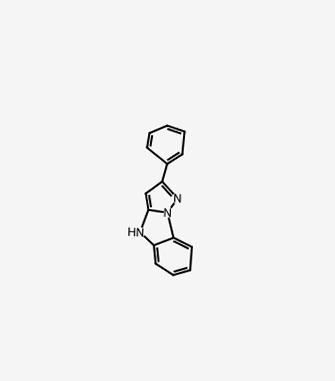 c1ccc(-c2cc3[nH]c4ccccc4n3n2)cc1